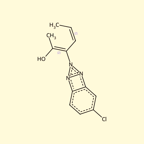 C/C=C\C(=C(/C)O)n1n2c3ccc(Cl)cc3n12